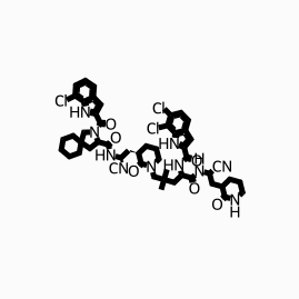 CC(C)(CC(NC(=O)c1cc2ccc(Cl)c(Cl)c2[nH]1)C(=O)NC(C#N)CC1CCCNC1=O)CN1CCC[C@@H](C[C@@H](C#N)NC(=O)C2CC3(CCCCC3)CN2C(=O)c2cc3cccc(Cl)c3[nH]2)C1=O